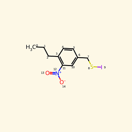 CCCc1ccc(CSI)cc1[N+](=O)[O-]